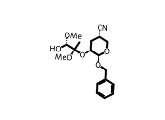 CO[C@@H](O)[C@@](C)(OC)O[C@H]1C[C@H](C#N)CO[C@H]1OCc1ccccc1